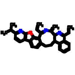 C=CC1=NC2C(=C)/N=C(/C=C)c3c(ccc4c3oc3nc(C(C)C)ccc34)CCC2c2ccccc21